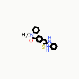 CN(C(=O)c1ccc(CC2(CS)Nc3ccccc3N2)cc1)C1CCCCC1